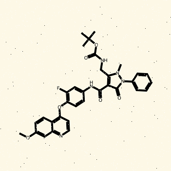 COc1ccc2c(Oc3ccc(NC(=O)c4c(CNC(=O)OC(C)(C)C)n(C)n(-c5ccccc5)c4=O)cc3F)ccnc2c1